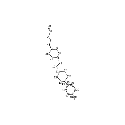 C=CCCC[C@H]1CC[C@H](CC[C@H]2CC[C@H](c3ccc(F)cc3)CC2)CC1